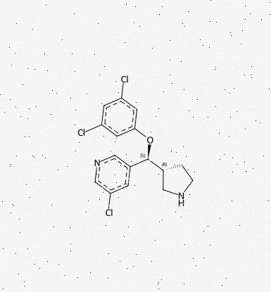 Clc1cc(Cl)cc(O[C@H](c2cncc(Cl)c2)[C@@H]2CCNC2)c1